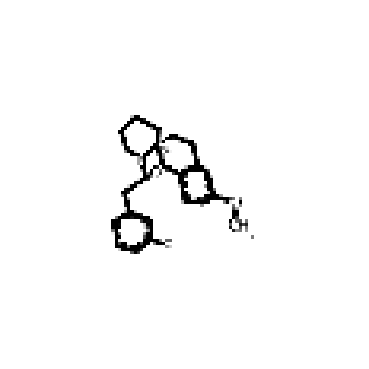 COc1ccc2c(c1)CC[C@@]1(CCCCN1CCc1cccc(F)c1)C2=O